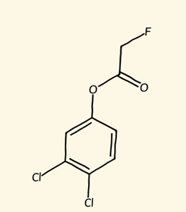 O=C(CF)Oc1ccc(Cl)c(Cl)c1